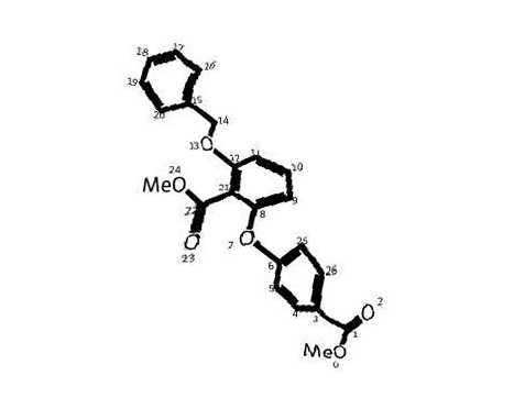 COC(=O)c1ccc(Oc2cccc(OCc3ccccc3)c2C(=O)OC)cc1